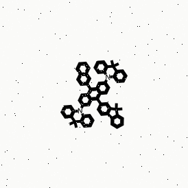 CC1(C)c2ccccc2-c2ccc(-c3c4ccc(N5c6ccccc6C(C)(C)c6ccccc65)cc4c(-c4ccc5ccccc5c4)c4ccc(N5c6ccccc6C(C)(C)c6ccccc65)cc34)cc21